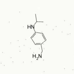 CC(C)Nc1ccc(CN)cc1